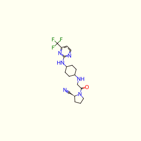 N#C[C@@H]1CCCN1C(=O)CNC1CCC(Nc2nccc(C(F)(F)F)n2)CC1